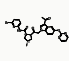 CC(=O)c1cn(CC(=O)C2C[C@H](F)C[C@H]2C(=O)Nc2cccc(Br)n2)c2ccc(Oc3ncccn3)cc12